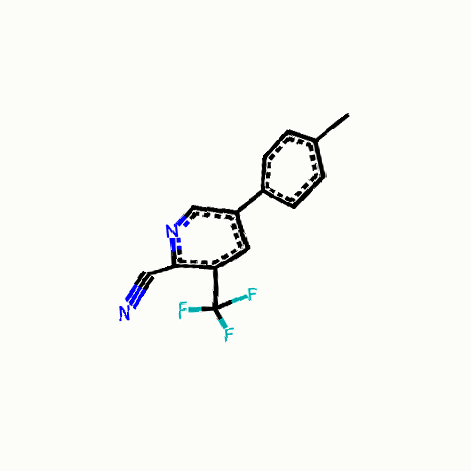 Cc1ccc(-c2cnc(C#N)c(C(F)(F)F)c2)cc1